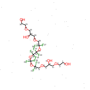 OCCOCC(O)COCC(F)(F)OC(F)(F)OC(F)(F)C(F)(F)OC(F)(F)COCC(O)COCCO